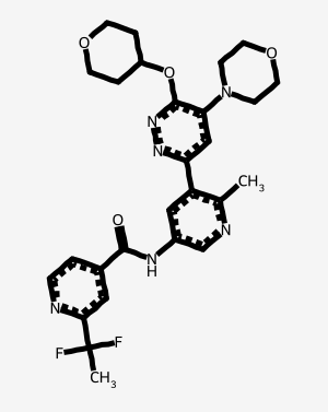 Cc1ncc(NC(=O)c2ccnc(C(C)(F)F)c2)cc1-c1cc(N2CCOCC2)c(OC2CCOCC2)nn1